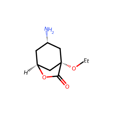 CCO[C@@]12C[C@@H](N)C[C@@H](C1)OC2=O